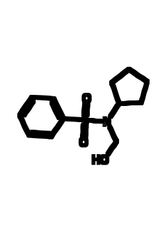 O=S(=O)(c1ccccc1)N(CO)C1CCCC1